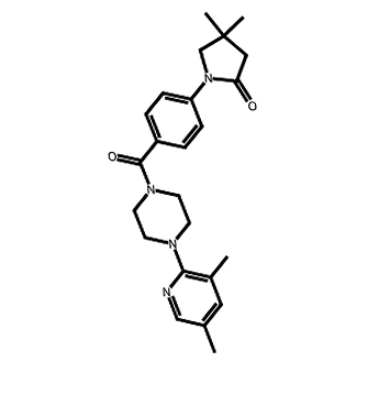 Cc1cnc(N2CCN(C(=O)c3ccc(N4CC(C)(C)CC4=O)cc3)CC2)c(C)c1